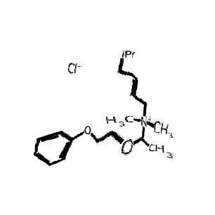 CC(C)CC=CC[N+](C)(C)C(C)OCCOc1ccccc1.[Cl-]